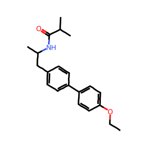 CCOc1ccc(-c2ccc(CC(C)NC(=O)C(C)C)cc2)cc1